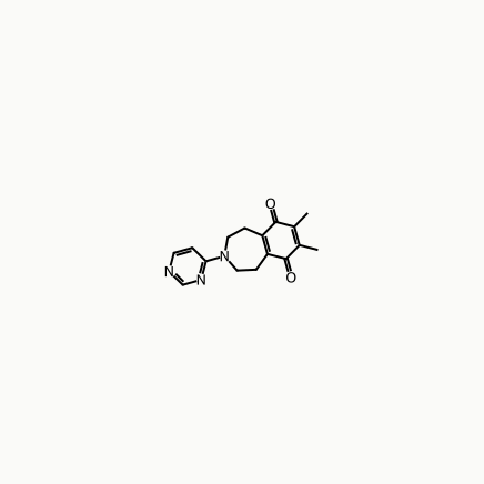 CC1=C(C)C(=O)C2=C(CCN(c3ccncn3)CC2)C1=O